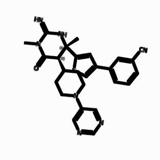 CN1C(=N)N[C@](C)(c2cc(-c3cccc(C#N)c3)cs2)[C@@H](C2CCN(c3cncnc3)CC2)C1=O